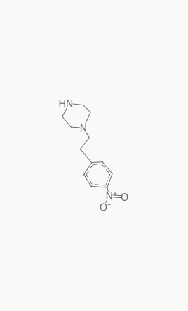 O=[N+]([O-])c1ccc(CCN2CCNCC2)cc1